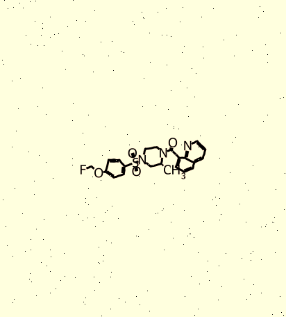 C[C@H]1CN(S(=O)(=O)c2ccc(OCF)cc2)CCN1C(=O)c1cccc2cccnc12